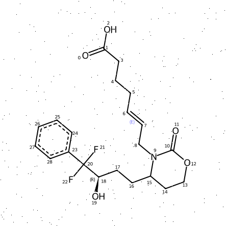 O=C(O)CCC/C=C/CN1C(=O)OCCC1CC[C@@H](O)C(F)(F)c1ccccc1